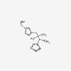 CC(c1ccsc1)C(C)(C)Cc1csc(CC(C)(C)C)c1